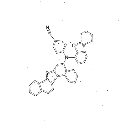 N#Cc1ccc(N(c2cc3sc4c5ccccc5ccc4c3c3ccccc23)c2cccc3c2oc2ccccc23)cc1